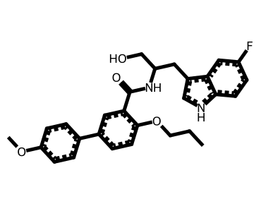 CCCOc1ccc(-c2ccc(OC)cc2)cc1C(=O)NC(CO)Cc1c[nH]c2ccc(F)cc12